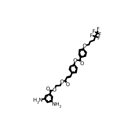 Nc1cc(N)cc(C(=O)OCCOC(=O)C=Cc2ccc(OC(=O)c3ccc(OCCCC(F)(F)C(F)(F)F)cc3)cc2)c1